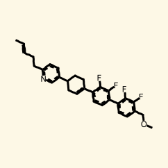 C/C=C/CCc1ccc(C2CC=C(c3ccc(-c4ccc(COC)c(F)c4F)c(F)c3F)CC2)cn1